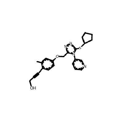 Cc1cc(OCc2nnc(SC3CCCC3)n2-c2cccnc2)ccc1C#CCO